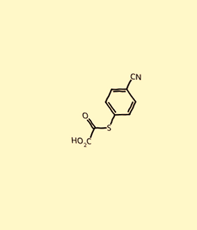 N#Cc1ccc(SC(=O)C(=O)O)cc1